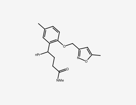 CCCC(CCC(=O)NC)c1cc(C)ccc1OCc1cc(C)on1